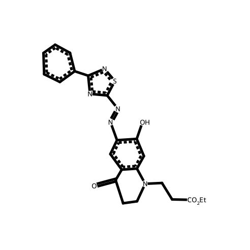 CCOC(=O)CCN1CCC(=O)c2cc(/N=N/c3nc(-c4ccccc4)ns3)c(O)cc21